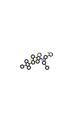 CC1CC=CC=C1c1ccc2c(c1)c1cc(-c3ccccc3)ccc1n2-c1c2c(c(-c3cccc4sc5c(-c6c7ccccc7c(-c7ccccc7)c7ccccc67)cccc5c34)c3ccccc13)CCC=C2